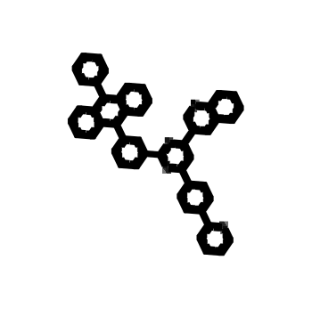 c1ccc(-c2c3ccccc3c(-c3cccc(-c4nc(-c5ccc(-c6ccccn6)cc5)cc(-c5cnc6ccccc6c5)n4)c3)c3ccccc23)cc1